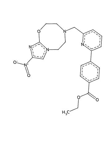 CCOC(=O)c1ccc(-c2cccc(CN3CCOc4nc([N+](=O)[O-])cn4CC3)n2)cc1